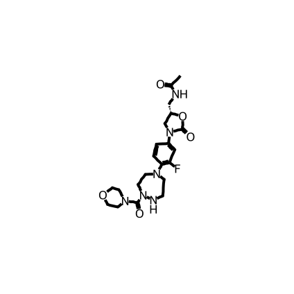 CC(=O)NC[C@H]1CN(c2ccc(N3CCNN(C(=O)N4CCOCC4)CC3)c(F)c2)C(=O)O1